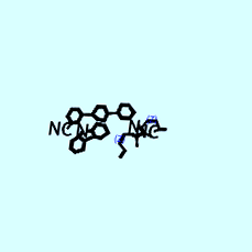 C=C/C=C\c1c(C)c(C)c(/C=C\C(=C)C#N)n1-c1cccc(-c2ccc(-c3cccc(C#N)c3-n3c4ccccc4c4ccccc43)cc2)c1